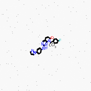 O=c1ccc2cnc(Nc3ccc(-n4cccn4)cc3)nc2n1C(c1ccc(F)cc1)C(Cl)(Cl)Cl